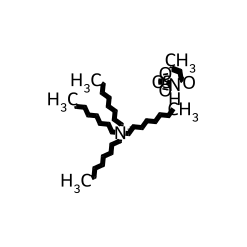 CC1=CC(=O)NS(=O)(=O)O1.CCCCCCCC[N+](CCCCCCCC)(CCCCCCCC)CCCCCCCC